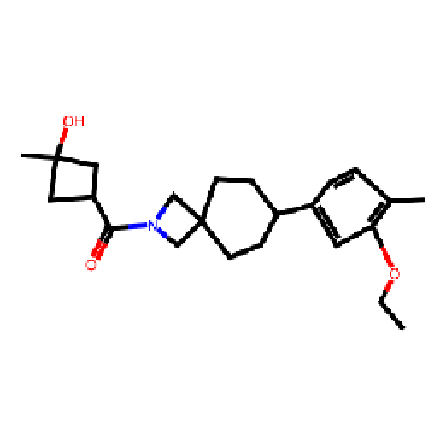 CCOc1cc(C2CCC3(CC2)CN(C(=O)C2CC(C)(O)C2)C3)ccc1C